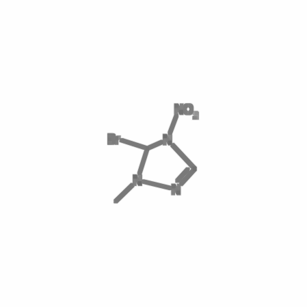 CN1N=CN([N+](=O)[O-])C1Br